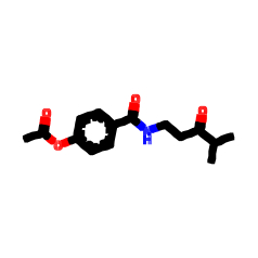 CC(=O)Oc1ccc(C(=O)NCCC(=O)C(C)C)cc1